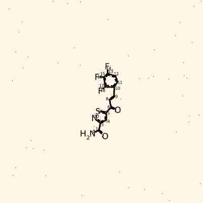 NC(=O)c1[c]c(C(=O)/C=C/c2ccc(F)c(F)c2F)sn1